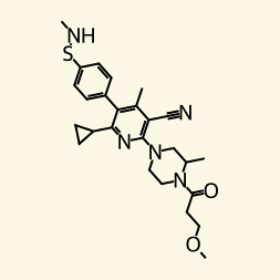 CNSc1ccc(-c2c(C3CC3)nc(N3CCN(C(=O)CCOC)C(C)C3)c(C#N)c2C)cc1